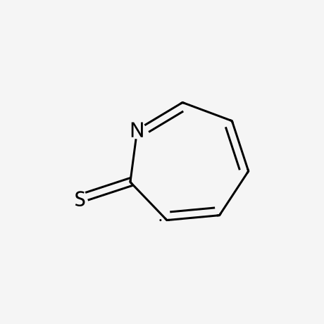 S=c1[c]ccccn1